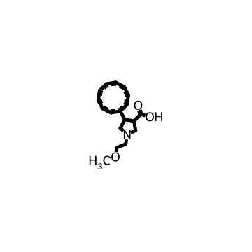 COCCN1CC(C(=O)O)C(c2ccccccccc2)C1